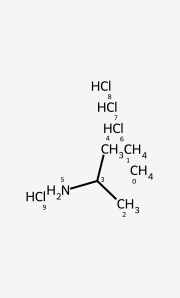 C.C.CC(C)N.Cl.Cl.Cl.Cl